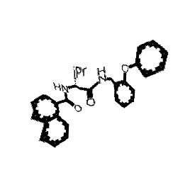 CC(C)[C@@H](NC(=O)c1cccc2ccccc12)C(=O)Nc1ccccc1Oc1ccccc1